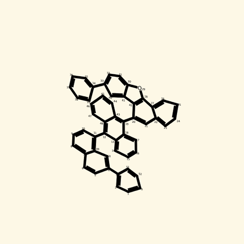 c1ccc(-c2ccc3cccc(-c4c5ccccc5c(-c5cc6ccccc6c6oc7ccc(-c8ccccc8)cc7c56)c5ccccc45)c3c2)cc1